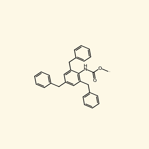 [CH2]OC(=O)Nc1c(Cc2ccccc2)cc(Cc2ccccc2)cc1Cc1ccccc1